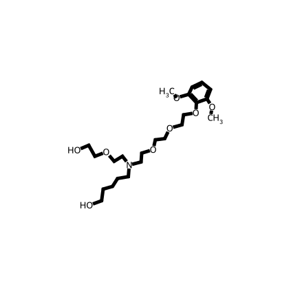 COc1cccc(OC)c1OCCOCCOCCN(CCCCCO)CCOCCO